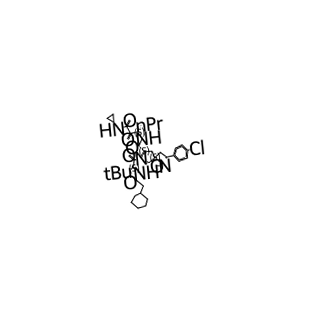 CCC[C@H](NC(=O)[C@@H]1C[C@]2(CC(c3ccc(Cl)cc3)=NO2)CN1C(=O)[C@@H](NC(=O)CC1CCCCC1)C(C)(C)C)C(=O)C(=O)NC1CC1